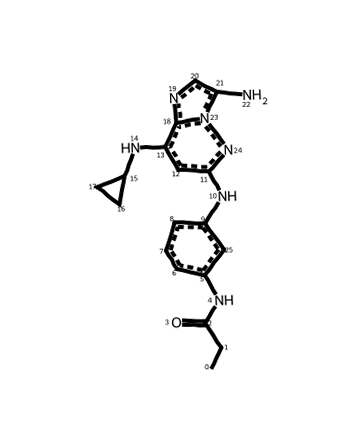 CCC(=O)Nc1cccc(Nc2cc(NC3CC3)c3ncc(N)n3n2)c1